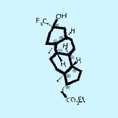 CCOC(=O)C[C@H]1CC[C@H]2[C@@H]3CC[C@@H]4C[C@@](O)(C(F)(F)F)CC[C@]4(C)[C@H]3CC[C@]12C